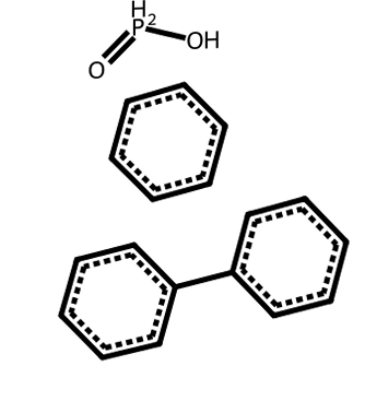 O=[PH2]O.c1ccc(-c2ccccc2)cc1.c1ccccc1